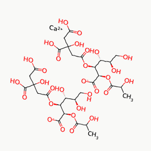 CC(O)C(=O)O[C@@H](C(=O)[O-])[C@@H](OC(=O)CC(O)(CC(=O)O)C(=O)O)[C@H](O)[C@H](O)CO.CC(O)C(=O)O[C@@H](C(=O)[O-])[C@@H](OC(=O)CC(O)(CC(=O)O)C(=O)O)[C@H](O)[C@H](O)CO.[Ca+2]